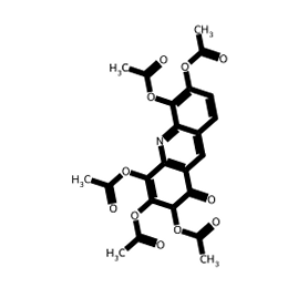 CC(=O)OC1=C(OC(C)=O)C(OC(C)=O)C(=O)c2cc3ccc(OC(C)=O)c(OC(C)=O)c3nc21